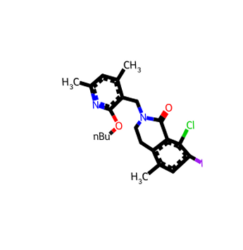 CCCCOc1nc(C)cc(C)c1CN1CCc2c(C)cc(I)c(Cl)c2C1=O